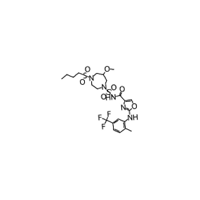 CCCCS(=O)(=O)N1CCN(S(=O)(=O)NC(=O)c2coc(Nc3cc(C(F)(F)F)ccc3C)n2)CC(OC)C1